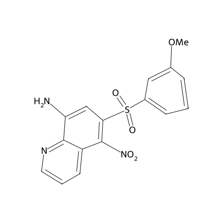 COc1cccc(S(=O)(=O)c2cc(N)c3ncccc3c2[N+](=O)[O-])c1